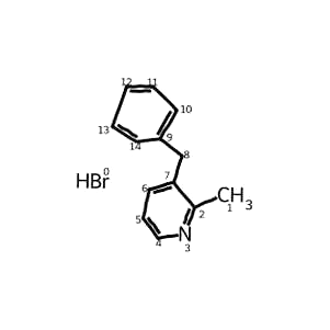 Br.Cc1ncccc1Cc1ccccc1